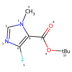 Cn1cnc(F)c1C(=O)OC(C)(C)C